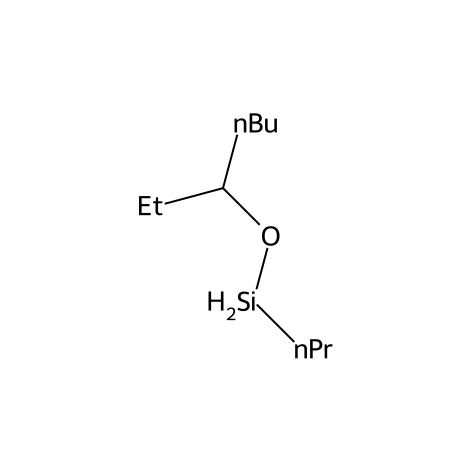 CCCCC(CC)O[SiH2]CCC